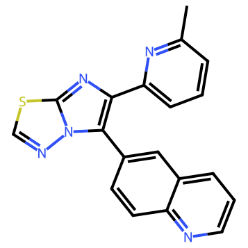 Cc1cccc(-c2nc3scnn3c2-c2ccc3ncccc3c2)n1